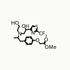 COC(=O)COc1ccc(CC(C)N(CCO)CC(O)c2csc(C(F)(F)F)n2)cc1